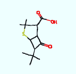 CC(C)(C)C1C(=O)C2C1SC(C)(C)C2C(=O)O